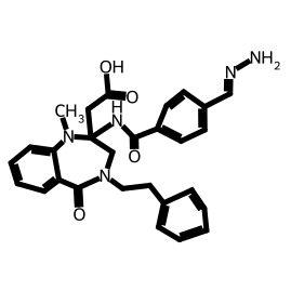 CN1c2ccccc2C(=O)N(CCc2ccccc2)CC1(CC(=O)O)NC(=O)c1ccc(C=NN)cc1